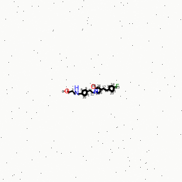 COCCCNCc1ccc(CCn2ccc(C=Cc3ccc(F)cc3)cc2=O)cc1